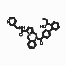 CCC(O)c1ccccc1-c1ccc(C(=O)N2Cc3ccc(C(=O)NCc4cccnc4)n3Cc3ccccc32)cc1